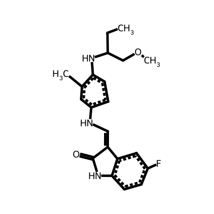 CCC(COC)Nc1ccc(NC=C2C(=O)Nc3ccc(F)cc32)cc1C